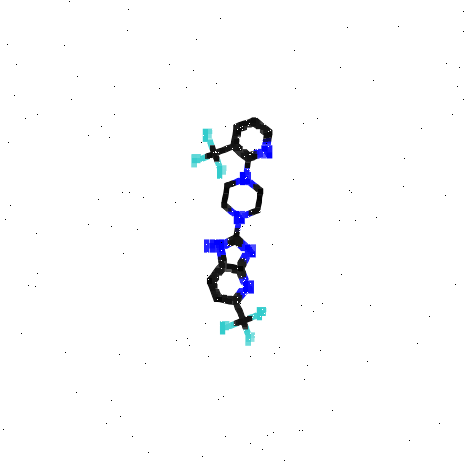 FC(F)(F)c1ccc2[nH]c(N3CCN(c4ncccc4C(F)(F)F)CC3)nc2n1